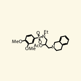 CCN(CC(CN1CCc2ccccc2C1)OC(C)=O)S(=O)(=O)c1ccc(OC)c(OC)c1